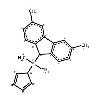 Cc1ccc2c(c1)-c1cc(C)ccc1C2[Si](C)(C)C1C=CC=C1